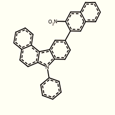 O=[N+]([O-])c1cc2ccccc2cc1-c1ccc2c(c1)c1c3ccccc3ccc1n2-c1ccccc1